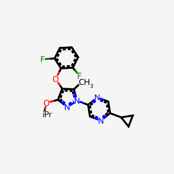 Cc1c(Oc2c(F)cccc2F)c(OC(C)C)nn1-c1cnc(C2CC2)cn1